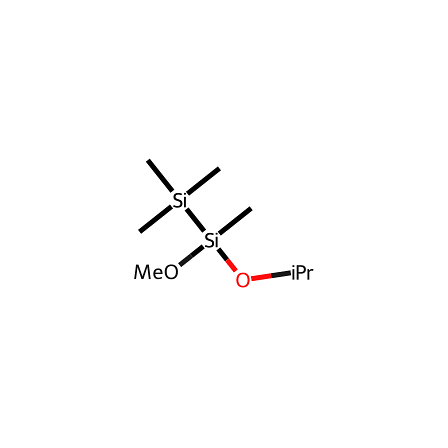 CO[Si](C)(OC(C)C)[Si](C)(C)C